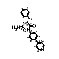 NC(=O)N[C@H](Cc1ccccc1)C(=O)Nc1ccc(-c2ccncc2)cc1